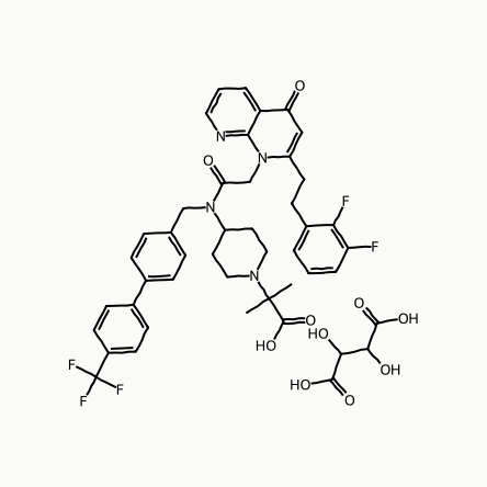 CC(C)(C(=O)O)N1CCC(N(Cc2ccc(-c3ccc(C(F)(F)F)cc3)cc2)C(=O)Cn2c(CCc3cccc(F)c3F)cc(=O)c3cccnc32)CC1.O=C(O)C(O)C(O)C(=O)O